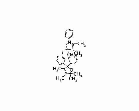 CC1=C(C)C(C)(Cc2cccc(C3(c4ccccc4)OC(C)(C)C(C)=C3C)c2)CN1c1ccccc1